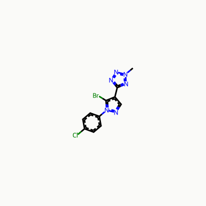 Cn1nnc(-c2cnn(-c3ccc(Cl)cc3)c2Br)n1